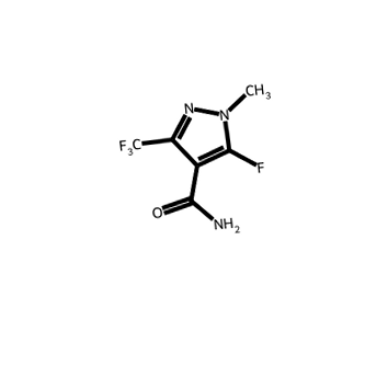 Cn1nc(C(F)(F)F)c(C(N)=O)c1F